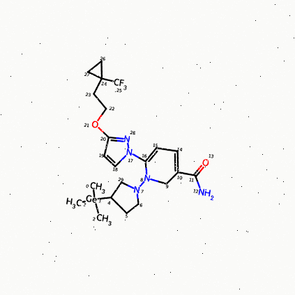 [CH3][Ge]([CH3])([CH3])[CH]1CCN(N2CC(C(N)=O)=CC=C2n2ccc(OCCC3(C(F)(F)F)CC3)n2)C1